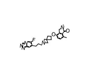 Cc1ccc(OC2CC3(C2)CN(CCCc2cc4nncn4cc2F)C3)c2c1C(=O)N(C)C2